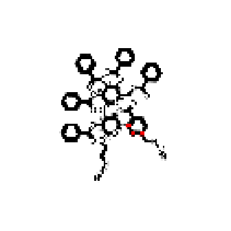 [N-]=[N+]=NCCOC[C@H]1O[C@H](OCCN=[N+]=[N-])[C@@H](OC(=O)c2ccccc2)[C@@H](O[C@@H]2O[C@H](COC(=O)c3ccccc3)[C@@H](OC(=O)c3ccccc3)[C@H](OC(=O)c3ccccc3)[C@@H]2OC(=O)c2ccccc2)[C@@H]1OC(=O)c1ccccc1